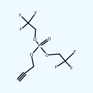 C#CCOP(=O)(OCC(F)(F)F)OCC(F)(F)F